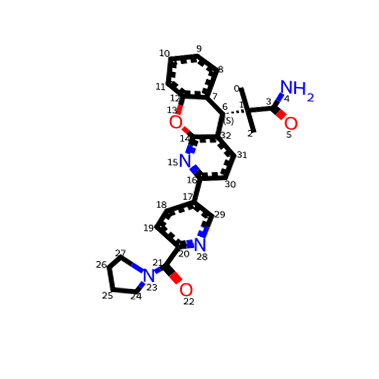 CC(C)(C(N)=O)[C@H]1c2ccccc2Oc2nc(-c3ccc(C(=O)N4CCCC4)nc3)ccc21